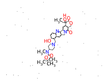 CC[C@@]1(O)C(=O)OCc2c1cc1n(c2=O)Cc2cc3c(CN4CCC(N(C)C(=O)OC(C)(C)C)CC4)c(O)ccc3nc2-1